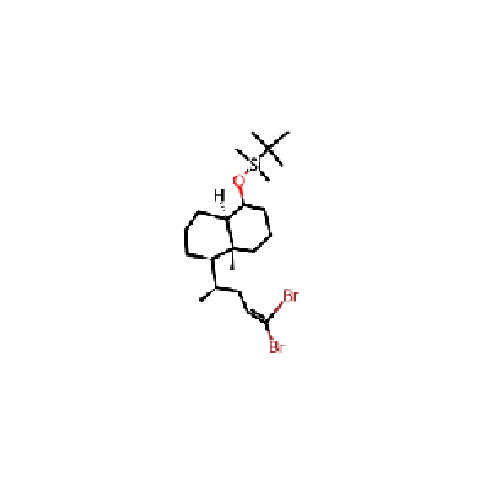 C[C@H](CC=C(Br)Br)[C@H]1CCC[C@H]2C(O[Si](C)(C)C(C)(C)C)CCC[C@]12C